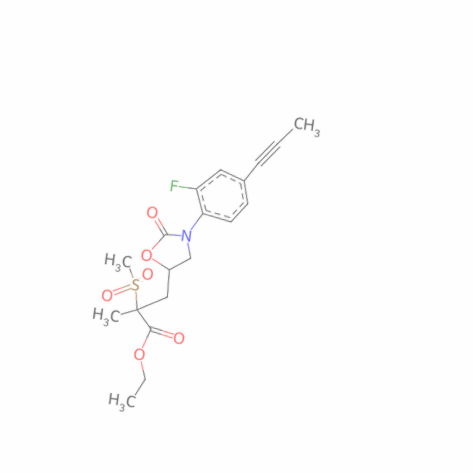 CC#Cc1ccc(N2CC(CC(C)(C(=O)OCC)S(C)(=O)=O)OC2=O)c(F)c1